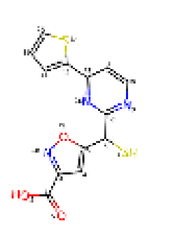 O=C(O)c1cc(C(S)c2nccc(-c3cccs3)n2)on1